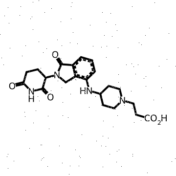 O=C(O)CCN1CCC(Nc2cccc3c2CN(C2CCC(=O)NC2=O)C3=O)CC1